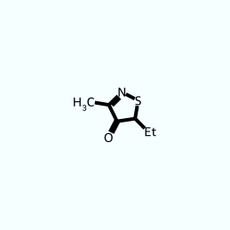 CCC1SN=C(C)C1=O